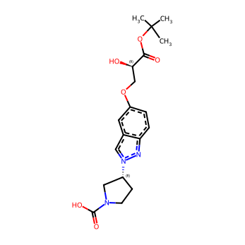 CC(C)(C)OC(=O)[C@H](O)COc1ccc2nn([C@@H]3CCN(C(=O)O)C3)cc2c1